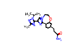 Cc1nc(-c2cn3c(n2)-c2ccc(CCC(N)=O)cc2OCC3)n(C(C)C)n1